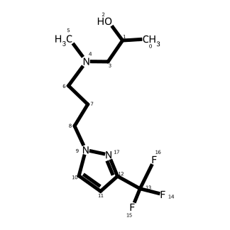 CC(O)CN(C)CCCn1ccc(C(F)(F)F)n1